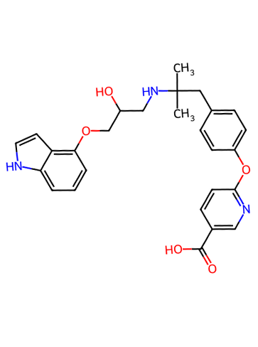 CC(C)(Cc1ccc(Oc2ccc(C(=O)O)cn2)cc1)NCC(O)COc1cccc2[nH]ccc12